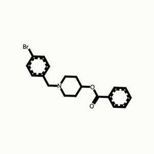 O=C(OC1CCN(Cc2ccc(Br)cc2)CC1)c1ccccc1